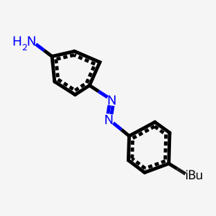 CCC(C)c1ccc(N=Nc2ccc(N)cc2)cc1